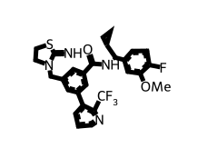 COc1cc([C@@H](NC(=O)c2cc(CN3CCSC3=N)cc(-c3cccnc3C(F)(F)F)c2)C2CC2)ccc1F